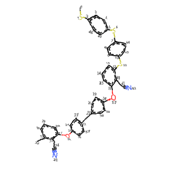 CSc1ccc(Sc2ccc(Sc3cccc(Oc4ccc(-c5ccc(Oc6cccc(C)c6C#N)cc5)cc4)c3C#N)cc2)cc1